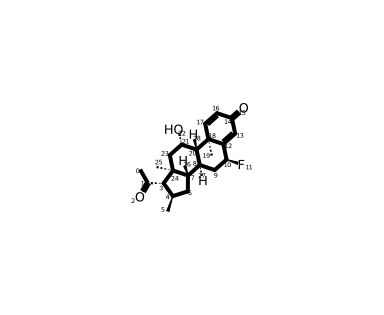 CC(=O)[C@H]1[C@H](C)C[C@H]2[C@@H]3C[C@H](F)C4=CC(=O)C=C[C@]4(C)[C@H]3[C@@H](O)C[C@@]21C